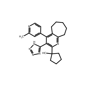 [CH]C1(c2nc3c(c(-c4ccnc(C)c4)c2-c2nnn[nH]2)CCCCC3)CCCC1